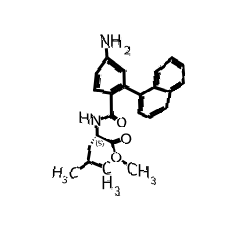 COC(=O)[C@H](CC(C)C)NC(=O)c1ccc(N)cc1-c1cccc2ccccc12